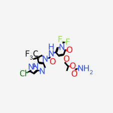 CC(COc1cc(NC(=O)N2C[C@@](C)(C(F)(F)F)c3c2cnc2cc(Cl)nn32)cn(C(F)F)c1=O)OC(N)=O